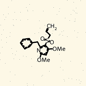 C=CCS(=O)(=O)c1c(OC)cc(OC)nc1Cc1ccccc1